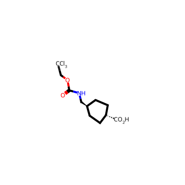 O=C(NC[C@H]1CC[C@H](C(=O)O)CC1)OCC(Cl)(Cl)Cl